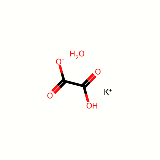 O.O=C([O-])C(=O)O.[K+]